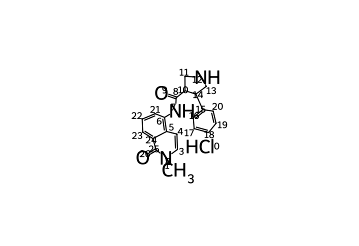 Cl.Cn1ccc2c(NC(=O)C3CNCC3c3ccccc3)cccc2c1=O